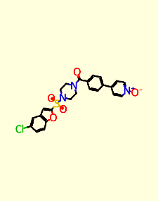 O=C(c1ccc(-c2cc[n+]([O-])cc2)cc1)N1CCN(S(=O)(=O)c2cc3cc(Cl)ccc3o2)CC1